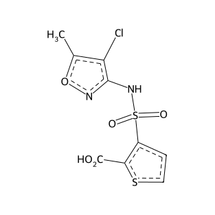 Cc1onc(NS(=O)(=O)c2ccsc2C(=O)O)c1Cl